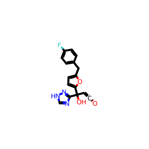 O=C=CC(O)(c1nc[nH]n1)c1ccc(Cc2ccc(F)cc2)o1